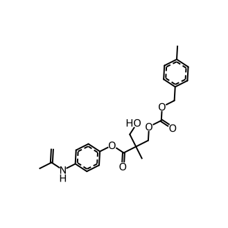 C=C(C)Nc1ccc(OC(=O)C(C)(CO)COC(=O)OCc2ccc(C)cc2)cc1